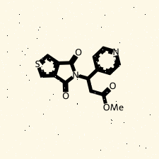 COC(=O)CC(c1ccncc1)N1C(=O)c2cscc2C1=O